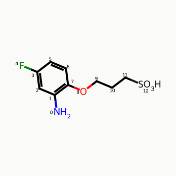 Nc1cc(F)ccc1OCCCS(=O)(=O)O